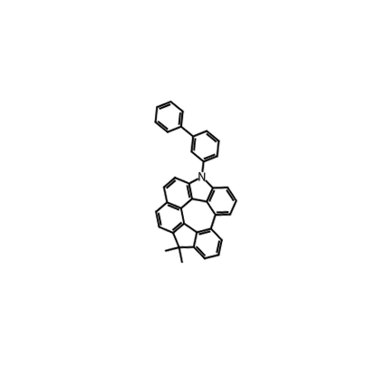 CC1(C)c2cccc3c2-c2c1ccc1ccc4c(c21)c1c-3cccc1n4-c1cccc(-c2ccccc2)c1